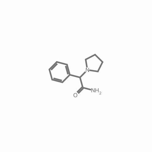 NC(=O)C(c1ccccc1)N1CCCC1